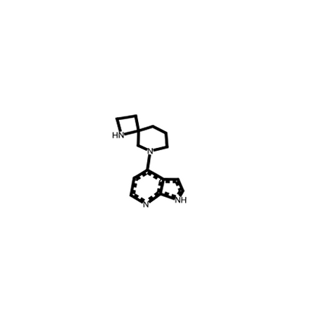 c1cc(N2CCCC3(CCN3)C2)c2cc[nH]c2n1